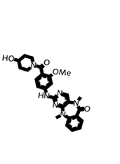 COc1cc(Nc2ncc3c(n2)N(C)c2ccccc2C(=O)N3C)ccc1C(=O)N1CCC(O)CC1